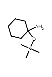 C[Si](C)(C)OC1(N)CCCCC1